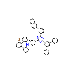 c1ccc(-c2cc(-c3ccccc3)cc(-c3nc(-c4cccc(-c5ccc6ccccc6c5)c4)nc(-c4ccc5c(c4)c4ccc6sc7cccc8c9ccccc9n5c4c6c78)n3)c2)cc1